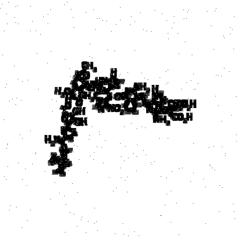 Cc1cc2cc3c(C)cc(=O)oc3c(C)c2o1.Cn1cnc([N+](=O)[O-])c1Sc1nc(=N)[nH]c2[nH]cnc12.NC(=O)c1csc([C@@H]2O[C@H](CO)[C@@H](O)[C@H]2O)n1.Nc1n[n+]([O-])c2ccccc2[n+]1[O-].Nc1nc(=S)c2[nH]cnc2[nH]1.O=C(O)CC(O)(CC(=O)O)C(=O)O.S=P(N1CC1)(N1CC1)N1CC1